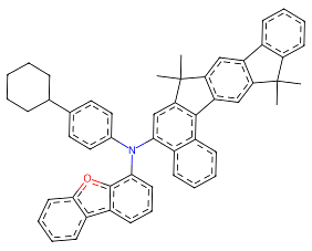 CC1(C)c2ccccc2-c2cc3c(cc21)-c1c(cc(N(c2ccc(C4CCCCC4)cc2)c2cccc4c2oc2ccccc24)c2ccccc12)C3(C)C